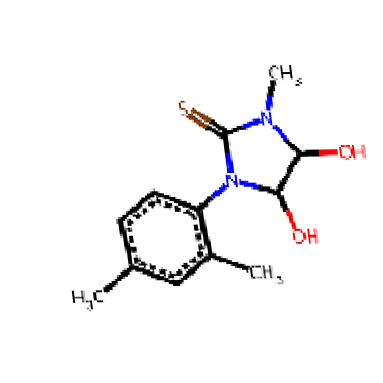 Cc1ccc(N2C(=S)N(C)C(O)C2O)c(C)c1